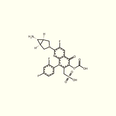 N[C@@H]1[C@H]2CN(c3nc4c(cc3F)c(=O)c(OC(=O)O)c(CS(=O)(=O)O)n4-c3ccc(F)cc3F)C[C@@H]12